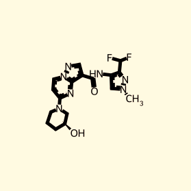 Cn1cc(NC(=O)c2cnn3ccc(N4CCC[C@H](O)C4)nc23)c(C(F)F)n1